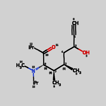 C#CC(O)C[C@@H](C)[C@@H](C)[C@@H](C(=O)C(C)C)N(C)C(C)C